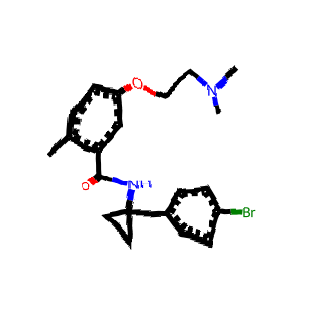 Cc1ccc(OCCN(C)C)cc1C(=O)NC1(c2ccc(Br)cc2)CC1